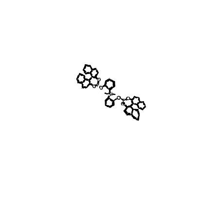 C[Si](C)(c1ccccc1Op1oc2ccc3ccccc3c2c2c(ccc3ccccc32)o1)c1ccccc1Op1oc2ccc3ccccc3c2c2c(ccc3ccccc32)o1